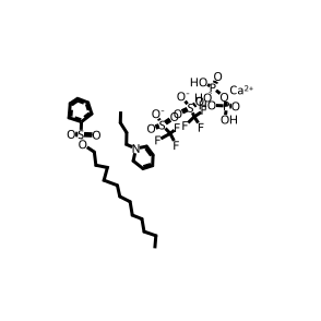 CCCCCCCCCCCCOS(=O)(=O)c1ccccc1.CCCCN1C=CC=CC1.O=P(O)(O)OP(=O)(O)O.O=S(=O)([O-])C(F)(F)F.O=S(=O)([O-])C(F)(F)F.[Ca+2]